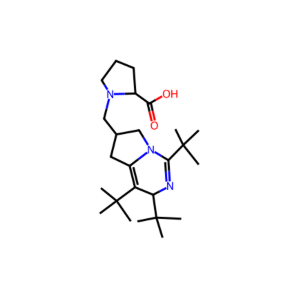 CC(C)(C)C1=NC(C(C)(C)C)C(C(C)(C)C)=C2CC(CN3CCCC3C(=O)O)CN12